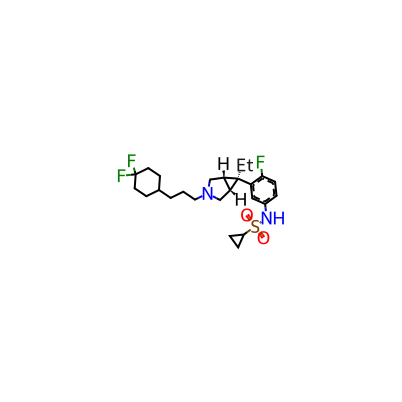 CC[C@]1(c2cc(NS(=O)(=O)C3CC3)ccc2F)[C@@H]2CN(CCCC3CCC(F)(F)CC3)C[C@@H]21